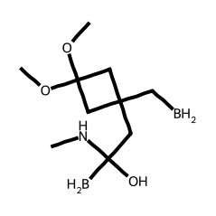 BCC1(CC(B)(O)NC)CC(OC)(OC)C1